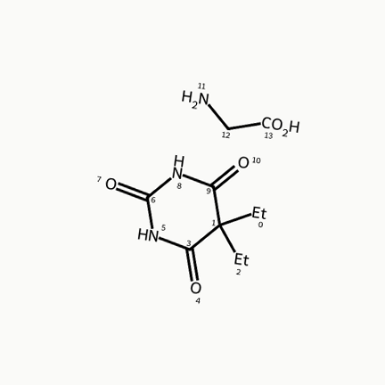 CCC1(CC)C(=O)NC(=O)NC1=O.NCC(=O)O